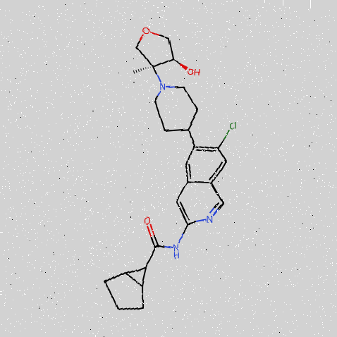 C[C@]1(N2CCC(c3cc4cc(NC(=O)C5C6CCCC65)ncc4cc3Cl)CC2)COC[C@H]1O